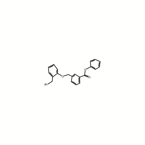 CC(C)Cc1ccccc1OCc1cccc(C(=O)Oc2ccccc2)c1